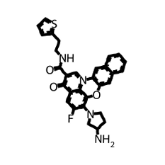 NC1CCN(c2c(F)cc3c(=O)c(C(=O)NCCc4cccs4)cn4c3c2Oc2cc3ccccc3cc2-4)C1